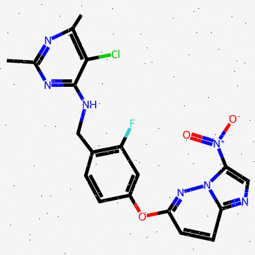 Cc1nc(C)c(Cl)c(NCc2ccc(Oc3ccc4ncc([N+](=O)[O-])n4n3)cc2F)n1